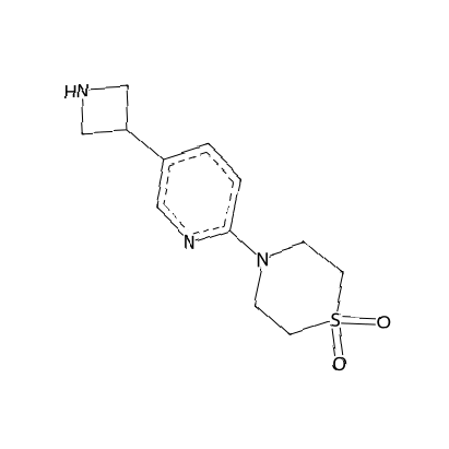 O=S1(=O)CCN(c2ccc(C3CNC3)cn2)CC1